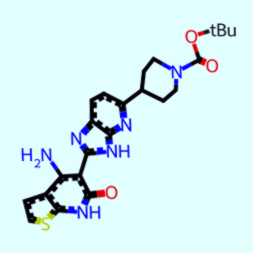 CC(C)(C)OC(=O)N1CCC(c2ccc3nc(-c4c(N)c5ccsc5[nH]c4=O)[nH]c3n2)CC1